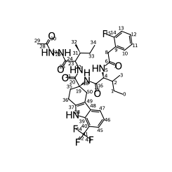 CCC(C)[C@H](NC(=O)Cc1ccccc1F)C(=O)N[C@]1(C(=O)NC(C(=O)NNC(C)=O)[C@@H](C)CC)CCc2[nH]c3c(C(F)(F)F)cccc3c2C1